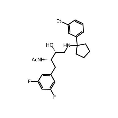 CCc1cccc(C2(NC[C@@H](O)[C@H](Cc3cc(F)cc(F)c3)NC(C)=O)CCCC2)c1